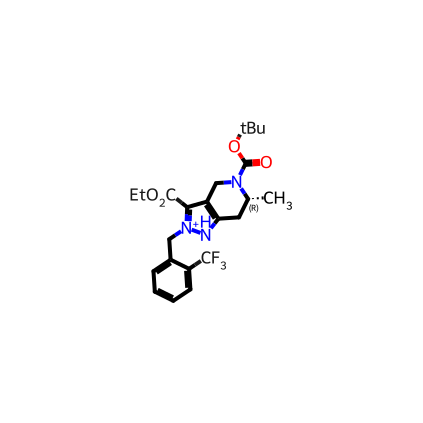 CCOC(=O)c1c2c([nH][n+]1Cc1ccccc1C(F)(F)F)C[C@@H](C)N(C(=O)OC(C)(C)C)C2